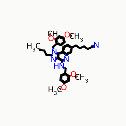 CCCCc1nc2c(NCc3ccc(OC)cc3OC)nc3cc(CCCCC#N)ccc3c2n1Cc1ccc(OC)cc1OC